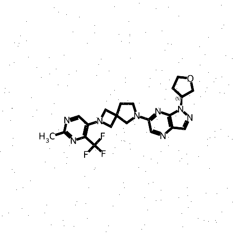 Cc1ncc(N2CC3(CCN(c4cnc5cnn([C@H]6CCOC6)c5n4)C3)C2)c(C(F)(F)F)n1